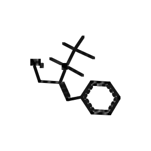 CC(C)(C)[Si](C)(C)C(=Cc1ccccc1)CN